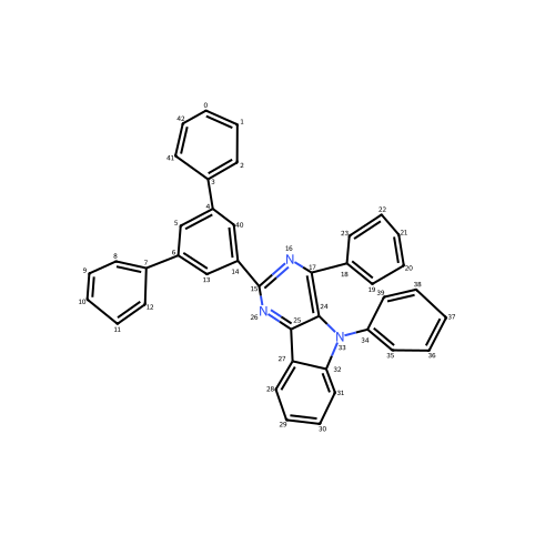 c1ccc(-c2cc(-c3ccccc3)cc(-c3nc(-c4ccccc4)c4c(n3)c3ccccc3n4-c3ccccc3)c2)cc1